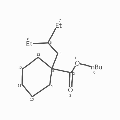 CCCCOC(=O)C1(CC(CC)CC)CCCCC1